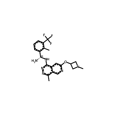 Cc1c([C@@H](N)Nc2nnc(C)c3cnc(OC4CN(C)C4)cc23)cccc1C(F)(F)F